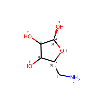 NC[C@H]1O[C@H](O)C(O)C1O